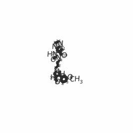 COc1ccc2c(c1)[C@@H]1CN(CCCCn3c(=O)[nH]c4c(sc5nccnc54)c3=O)C[C@@H]1CO2